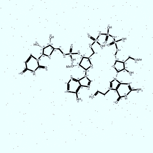 C=CC[n+]1cn([C@@H]2O[C@H](COP(=O)(O)OP(=O)(O)OP(=O)(O)OC[C@H]3O[C@@H](n4cnc5c(N)ncnc54)[C@H](OC)[C@@H]3OP(=O)(O)OC[C@H]3O[C@@H](n4ccc(=O)[nH]c4=O)[C@H](O)[C@@H]3O)[C@@H](COC)[C@H]2O)c2nc(N)[nH]c(=O)c21